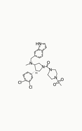 CN(Cc1ccc2cc[nH]c2c1)C1CN(C(=O)N2CCN(S(C)(=O)=O)CC2)C[C@@H]1c1ccc(Cl)c(Cl)c1